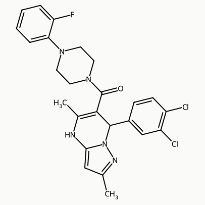 CC1=C(C(=O)N2CCN(c3ccccc3F)CC2)C(c2ccc(Cl)c(Cl)c2)n2nc(C)cc2N1